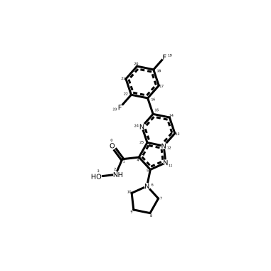 O=C(NO)c1c(N2CCCC2)nn2ccc(-c3cc(F)ccc3F)nc12